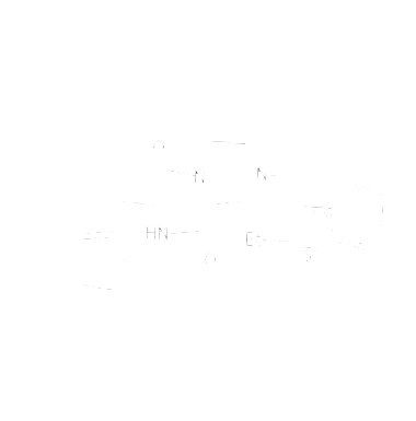 CCc1sc2ccccc2c1CN1CCN2C(=O)C(CC3=CCCC=C3)NC(=O)C2C1